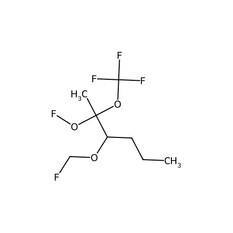 CCCC(OCF)C(C)(OF)OC(F)(F)F